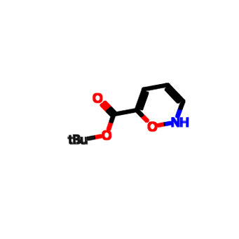 CC(C)(C)OC(=O)C1=CC=CNO1